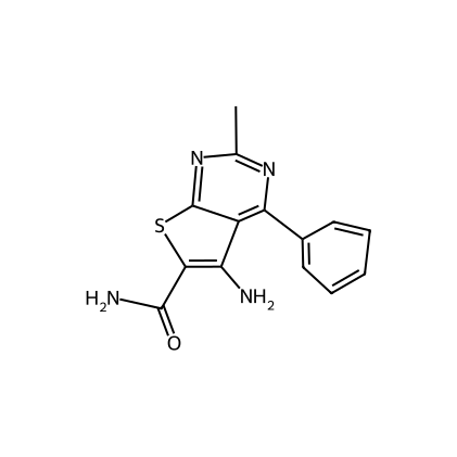 Cc1nc(-c2ccccc2)c2c(N)c(C(N)=O)sc2n1